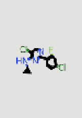 Fc1cc(Cl)ccc1-c1ncc(Cl)c(NC2CC2)n1